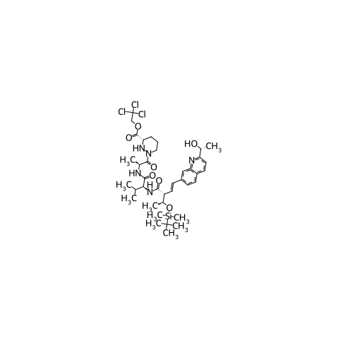 CC(C)[C@H](NC(=O)[C@H](/C=C/c1ccc2ccc([C@@H](C)O)nc2c1)[C@H](C)O[Si](C)(C)C(C)(C)C)C(=O)N[C@@H](C)C(=O)N1CCC[C@@H](C(=O)OCC(Cl)(Cl)Cl)N1